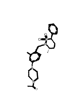 CC(=O)N1CCN(c2ccc(CN3[C@@H](C)CCC(c4ccccc4)S3(=O)=O)c(C)c2)CC1